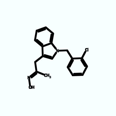 C/C(Cc1cn(Cc2ccccc2Cl)c2ccccc12)=N\O